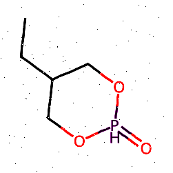 CCC1CO[PH](=O)OC1